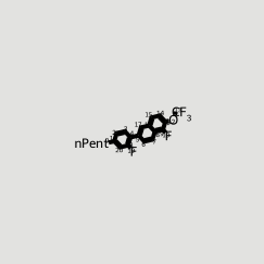 CCCCCc1ccc(-c2ccc3c(F)c(OC(F)(F)F)ccc3c2)c(F)c1